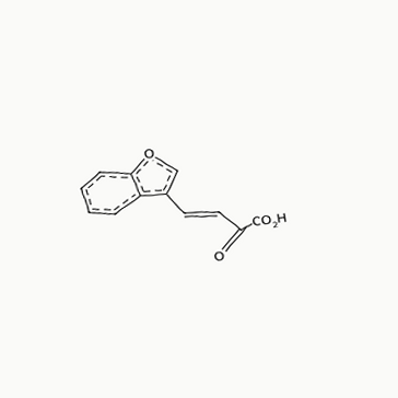 O=C(O)C(=O)/C=C/c1coc2ccccc12